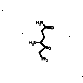 NC(=O)CC[C@H](N)C(=O)CP